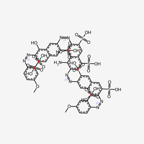 COc1ccc(/N=N\c2c(S(=O)(=O)O)cc3cc(S(=O)(=O)O)c(/N=N\c4cc(S(=O)(=O)O)c5cc(S(=O)(=O)O)c(/N=N\c6cc7c(O)c(/N=N\c8ccc(OC)cc8S(=O)(=O)O)c(S(=O)(=O)O)cc7cc6S(=O)(=O)O)c(O)c5c4N)cc3c2O)c(S(=O)(=O)O)c1